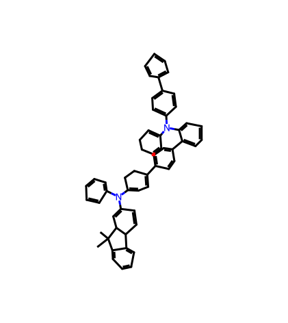 CC1(C)c2ccccc2C2C=CC(N(C3=CC=C(c4ccc(-c5ccccc5N(C5=CCCC=C5)c5ccc(-c6ccccc6)cc5)cc4)CC3)c3ccccc3)=CC21